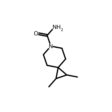 CC1C(C)C12CCN(C(N)=O)CC2